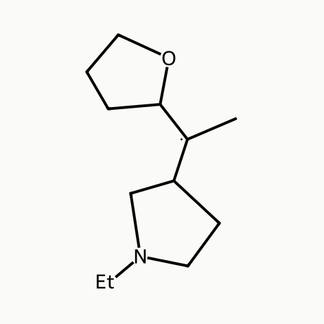 CCN1CCC([C](C)C2CCCO2)C1